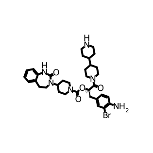 Nc1ccc(C[C@@H](OC(=O)N2CCC(N3CCc4ccccc4NC3=O)CC2)C(=O)N2CCC(C3CCNCC3)CC2)cc1Br